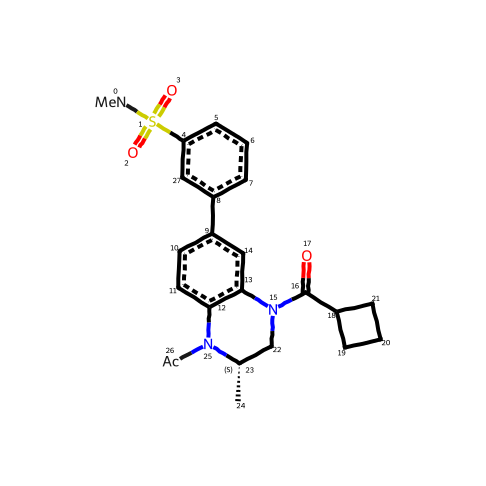 CNS(=O)(=O)c1cccc(-c2ccc3c(c2)N(C(=O)C2CCC2)C[C@H](C)N3C(C)=O)c1